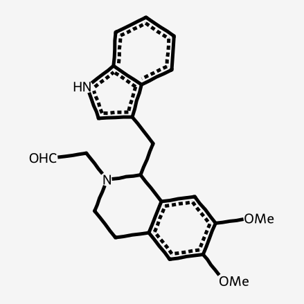 COc1cc2c(cc1OC)C(Cc1c[nH]c3ccccc13)N(CC=O)CC2